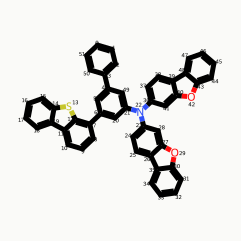 c1ccc(-c2cc(-c3cccc4c3sc3ccccc34)cc(N(c3ccc4c(c3)oc3ccccc34)c3ccc4c(c3)oc3ccccc34)c2)cc1